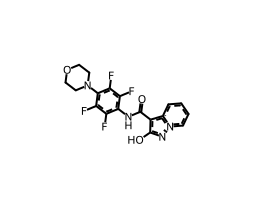 O=C(Nc1c(F)c(F)c(N2CCOCC2)c(F)c1F)c1c(O)nn2ccccc12